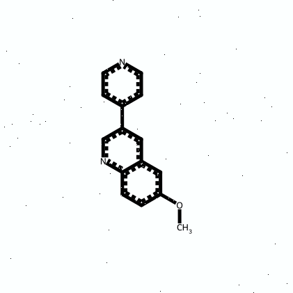 COc1ccc2ncc(-c3ccncc3)cc2c1